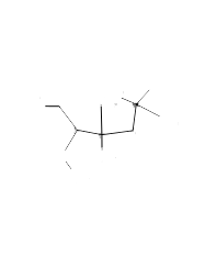 CCC(OC)C(C)(C)CC(C)(C)F